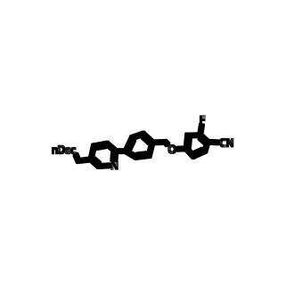 CCCCCCCCCCCc1ccc(-c2ccc(COc3ccc(C#N)c(F)c3)cc2)nc1